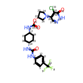 O=C(Nc1ccc(C(F)(F)F)cc1)N[C@H]1CC[C@H](NC(=O)O[C@@H]2CCN(c3cn[nH]c(=O)c3Cl)C2)CC1